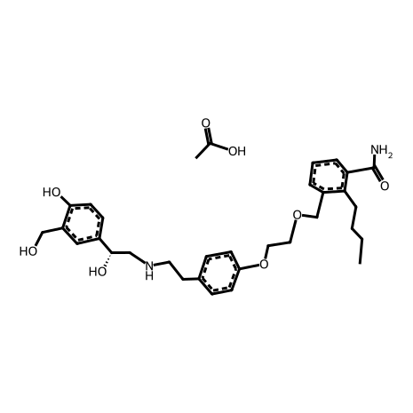 CC(=O)O.CCCCc1c(COCCOc2ccc(CCNC[C@H](O)c3ccc(O)c(CO)c3)cc2)cccc1C(N)=O